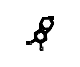 N#Cc1cc2c(cc1Cl)C1CNCC2C1